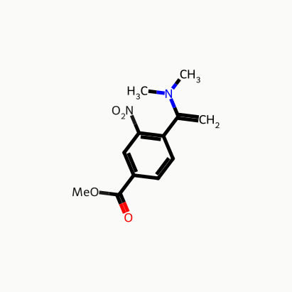 C=C(c1ccc(C(=O)OC)cc1[N+](=O)[O-])N(C)C